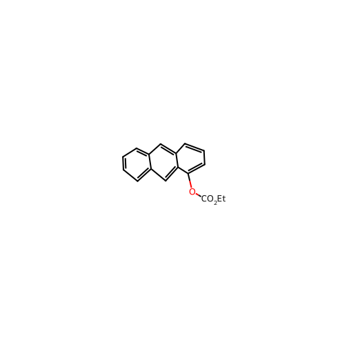 CCOC(=O)Oc1cccc2cc3ccccc3cc12